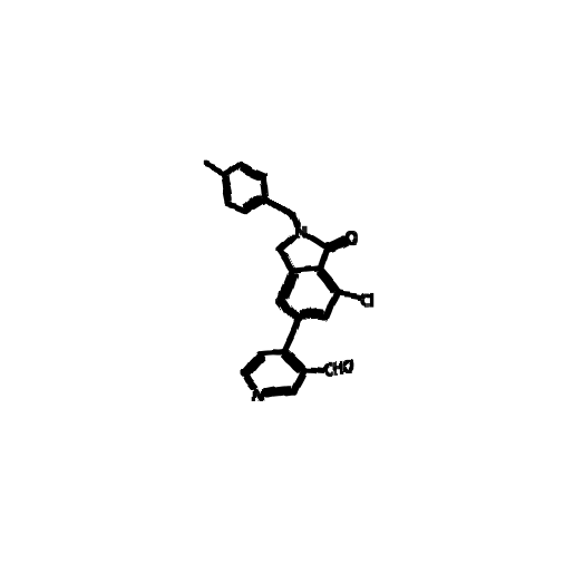 Cc1ccc(CN2Cc3cc(-c4ccncc4C=O)cc(Cl)c3C2=O)cc1